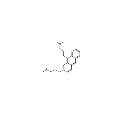 CN(C)CCCc1ccc2cc3ccccc3c(CCCN(C)C)c2c1